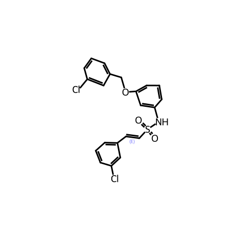 O=S(=O)(/C=C/c1cccc(Cl)c1)Nc1cccc(OCc2cccc(Cl)c2)c1